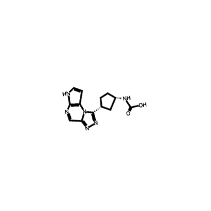 O=C(O)N[C@H]1CC[C@@H](c2nnc3cnc4[nH]ccc4n23)C1